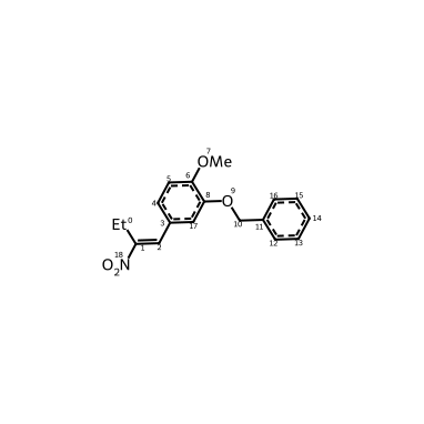 CC/C(=C\c1ccc(OC)c(OCc2ccccc2)c1)[N+](=O)[O-]